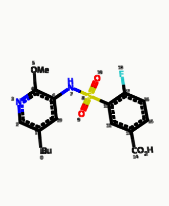 CCC(C)c1cnc(OC)c(NS(=O)(=O)c2cc(C(=O)O)ccc2F)c1